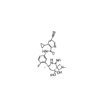 CN1CC2(C1)C(=N)N[C@](C)(c1cc(NC(=O)c3ncc(C#N)cc3C3CC3)ccc1F)CS2(O)O